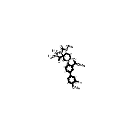 COC(=O)c1cc(-c2ccc(OC)c(F)c2)ccc1N1CCCC(NC(=O)OC(C)(C)C)(C(=O)N(C)C)C1